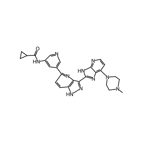 CN1CCN(c2ccnc3[nH]c(-c4n[nH]c5ccc(-c6cncc(NC(=O)C7CC7)c6)nc45)nc23)CC1